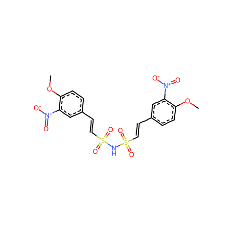 COc1ccc(C=CS(=O)(=O)NS(=O)(=O)C=Cc2ccc(OC)c([N+](=O)[O-])c2)cc1[N+](=O)[O-]